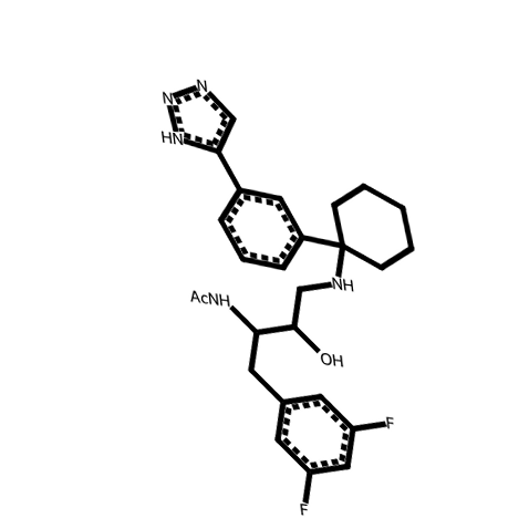 CC(=O)NC(Cc1cc(F)cc(F)c1)C(O)CNC1(c2cccc(-c3cnn[nH]3)c2)CCCCC1